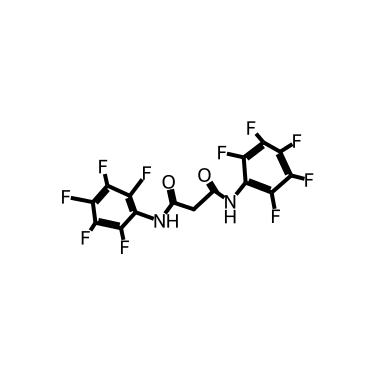 O=C(CC(=O)Nc1c(F)c(F)c(F)c(F)c1F)Nc1c(F)c(F)c(F)c(F)c1F